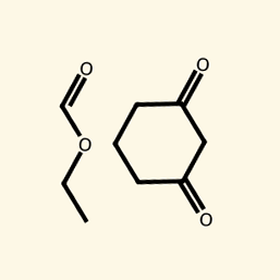 CCOC=O.O=C1CCCC(=O)C1